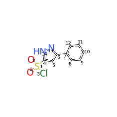 O=S(=O)(Cl)c1cc(-c2ccccc2)n[nH]1